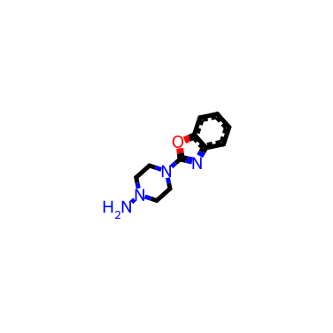 NN1CCN(c2nc3ccccc3o2)CC1